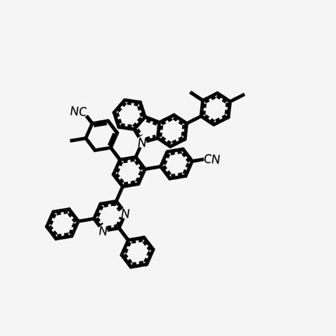 Cc1ccc(-c2ccc3c(c2)c2ccccc2n3-c2c(C3=CC=C(C#N)C(C)C3)cc(-c3cc(-c4ccccc4)nc(-c4ccccc4)n3)cc2-c2ccc(C#N)cc2)c(C)c1